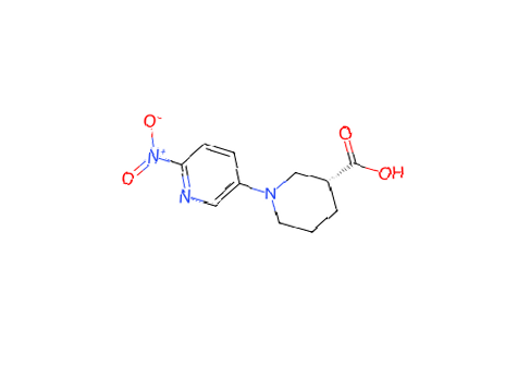 O=C(O)[C@@H]1CCCN(c2ccc([N+](=O)[O-])nc2)C1